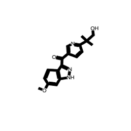 COc1ccc2c(C(=O)c3ccc(C(C)(C)CO)nc3)n[nH]c2c1